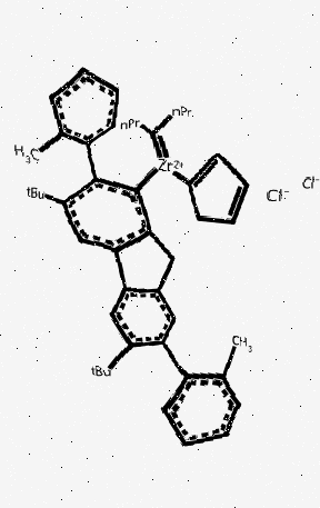 CCC[C](CCC)=[Zr+2]([C]1=CC=CC1)[c]1c2c(cc(C(C)(C)C)c1-c1ccccc1C)-c1cc(C(C)(C)C)c(-c3ccccc3C)cc1C2.[Cl-].[Cl-]